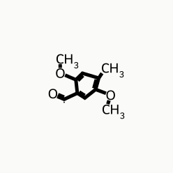 COc1cc([C]=O)c(OC)cc1C